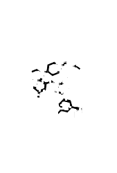 CCOC(=O)N1CCC(N(CC)c2ncc(C)cc2CN2C(=O)O[C@H](c3cc(C)cc(C(F)(F)F)c3)[C@@H]2C)CC1